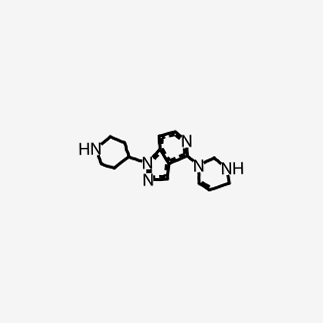 C1=CN(c2nccc3c2cnn3C2CCNCC2)CNC1